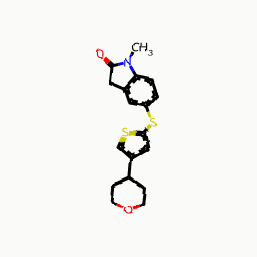 CN1C(=O)Cc2cc(Sc3cc(C4CCOCC4)cs3)ccc21